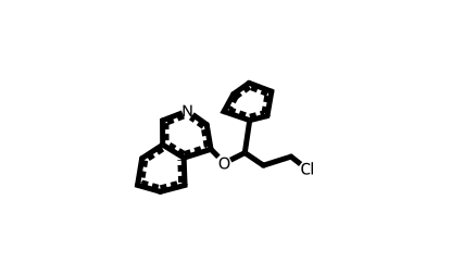 ClCCC(Oc1cncc2ccccc12)c1ccccc1